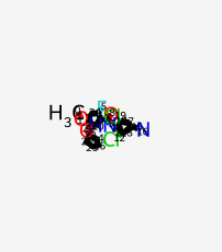 COc1cc(F)c(C(=O)Nc2c(Cl)cc(C#N)cc2Cl)cc1OC1CCCC1